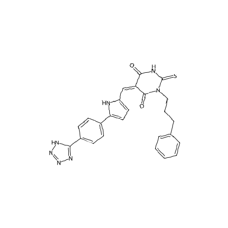 O=C1NC(=S)N(CCCc2ccccc2)C(=O)/C1=C\c1ccc(-c2ccc(-c3nnn[nH]3)cc2)[nH]1